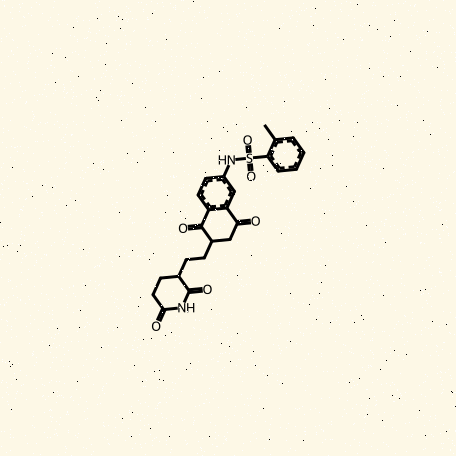 Cc1ccccc1S(=O)(=O)Nc1ccc2c(c1)C(=O)CC(CCC1CCC(=O)NC1=O)C2=O